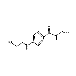 CCCCCNC(=O)c1ccc(NCCO)cc1